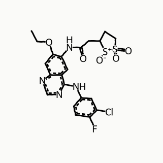 CCOc1cc2ncnc(Nc3ccc(F)c(Cl)c3)c2cc1NC(=O)CC1CCS(=O)(=O)[S+]1[O-]